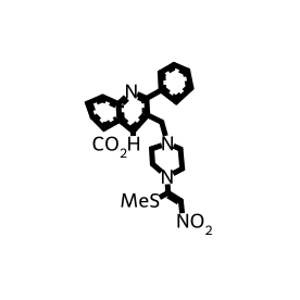 CSC(=C[N+](=O)[O-])N1CCN(Cc2c(-c3ccccc3)nc3ccccc3c2C(=O)O)CC1